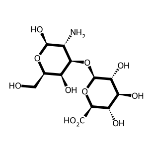 N[C@@H]1[C@@H](O[C@@H]2O[C@H](C(=O)O)[C@@H](O)[C@H](O)[C@H]2O)[C@@H](O)[C@@H](CO)O[C@H]1O